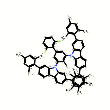 Cc1cc(C)c(-c2ccc3c4ccc(-c5c(C)cc(C)cc5C)cc4n(-c4cc(-c5c(F)cccc5F)cc(-n5c6cc(-c7c(C)cc(C)cc7C)ccc6c6ccc(-c7c(C)cc(C)cc7C)cc65)c4C(F)(F)F)c3c2)c(C)c1